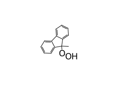 CC1(OO)c2ccccc2-c2ccccc21